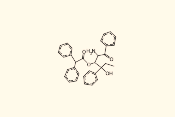 CCC(O)(c1ccccc1)C(OC(=O)C(c1ccccc1)c1ccccc1)C(N)C(=O)c1ccccc1